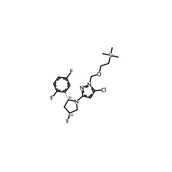 C[Si](C)(C)CCOCn1nc(N2C[C@@H](F)C[C@@H]2c2cc(F)ccc2F)cc1Cl